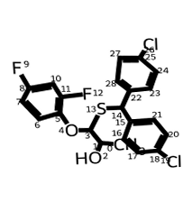 CC(O)C(Oc1ccc(F)cc1F)SC(c1ccc(Cl)cc1)c1ccc(Cl)cc1